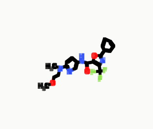 COCCN(C)c1ccc(NC(=O)c2oc(-c3ccccc3)nc2C(F)(F)F)cn1